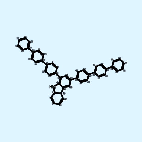 C1=CC2Nc3c(-c4ccc(-c5ccc(-c6ccccc6)cc5)cc4)cc(-c4ccc(-c5ccc(-c6ccccc6)cc5)cc4)cc3N2C=C1